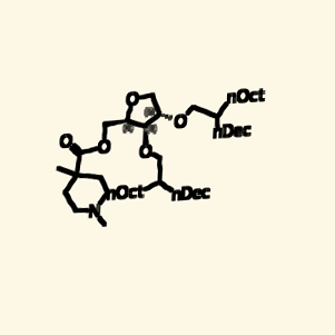 CCCCCCCCCCC(CCCCCCCC)CO[C@@H]1[C@@H](OCC(CCCCCCCC)CCCCCCCCCC)CO[C@@H]1COC(=O)C1(C)CCN(C)CC1